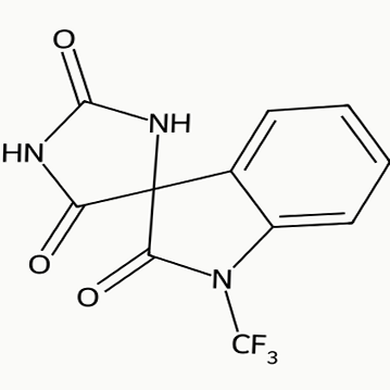 O=C1NC(=O)C2(N1)C(=O)N(C(F)(F)F)c1ccccc12